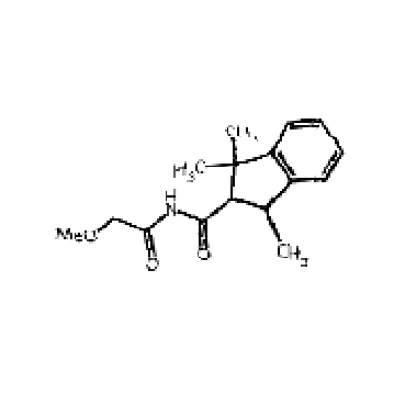 COCC(=O)NC(=O)C1C(C)c2[c]cccc2C1(C)C